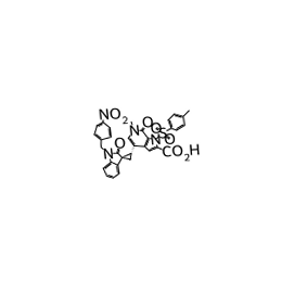 Cc1ccc(S(=O)(=O)n2c(C(=O)O)cc3c([C@@H]4C[C@@]45C(=O)N(Cc4ccc([N+](=O)[O-])cc4)c4ccccc45)cn(C)c(=O)c32)cc1